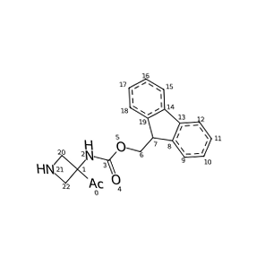 CC(=O)C1(NC(=O)OCC2c3ccccc3-c3ccccc32)CNC1